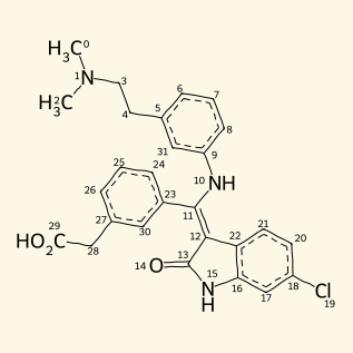 CN(C)CCc1cccc(NC(=C2C(=O)Nc3cc(Cl)ccc32)c2cccc(CC(=O)O)c2)c1